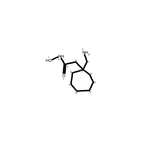 NCC1(CC(=O)NO)CCCCCC1